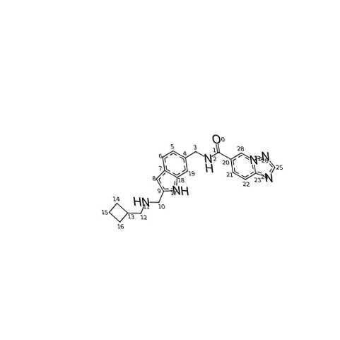 O=C(NCc1ccc2cc(CNCC3CCC3)[nH]c2c1)c1ccc2ncnn2c1